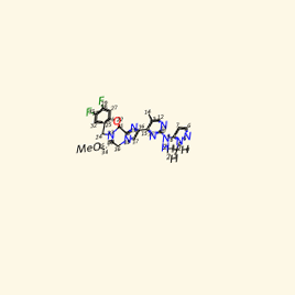 [2H]C([2H])([2H])n1nccc1Nc1ncc(C)c(-c2cn3c(n2)C(=O)N(Cc2ccc(F)c(F)c2)[C@@H](COC)C3)n1